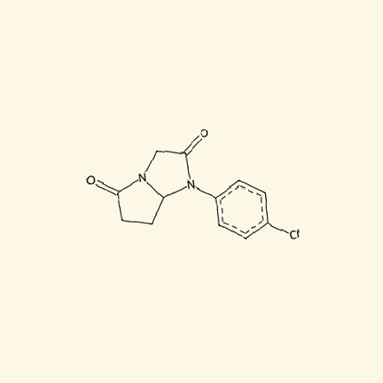 O=C1CCC2N1CC(=O)N2c1ccc(Cl)cc1